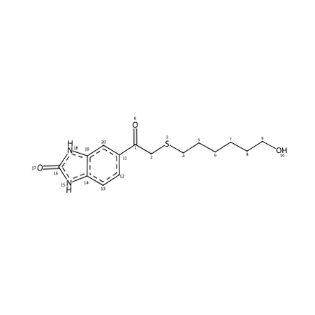 O=C(CSCCCCCCO)c1ccc2[nH]c(=O)[nH]c2c1